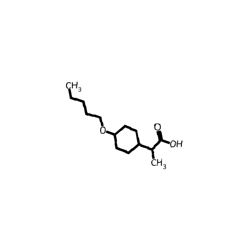 CCCCCOC1CCC(C(C)C(=O)O)CC1